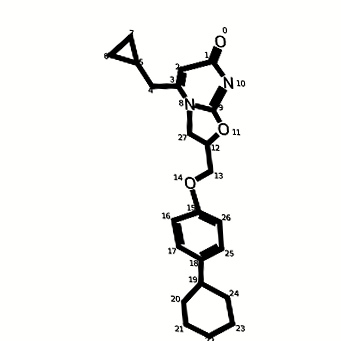 O=c1cc(CC2CC2)n2c(n1)OC(COc1ccc(C3CCCCC3)cc1)C2